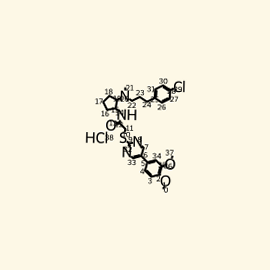 COc1ccc(-c2cnc(SCC(=O)NC3CCCC3N(C)CCCc3ccc(Cl)cc3)nc2)cc1OC.Cl